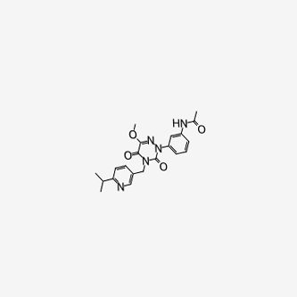 COc1nn(-c2cccc(NC(C)=O)c2)c(=O)n(Cc2ccc(C(C)C)nc2)c1=O